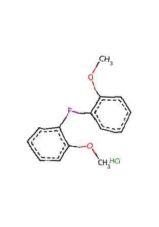 COc1ccccc1[P]c1ccccc1OC.Cl